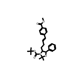 COC(=O)c1ccc(C=CCCC2C(c3ccccc3)OC(C)(C)N2C(=O)OC(C)(C)C)cc1